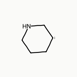 [C]1CCCNC1